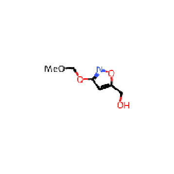 COCOc1cc(CO)on1